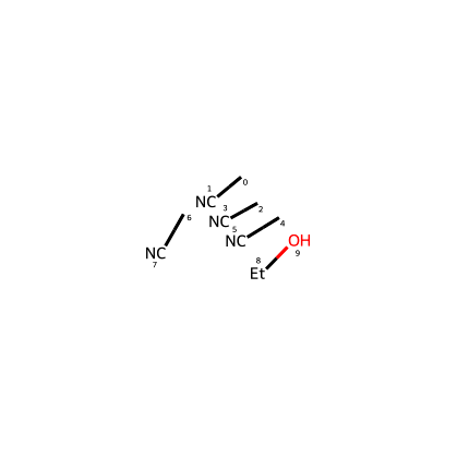 CC#N.CC#N.CC#N.CC#N.CCO